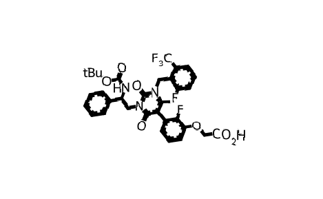 Cc1c(-c2cccc(OCC(=O)O)c2F)c(=O)n(CC(NC(=O)OC(C)(C)C)c2ccccc2)c(=O)n1Cc1c(F)cccc1C(F)(F)F